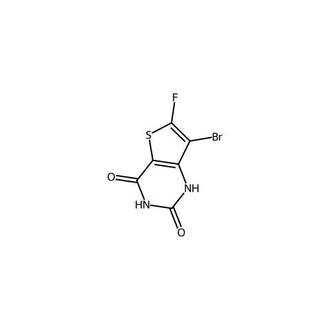 O=c1[nH]c(=O)c2sc(F)c(Br)c2[nH]1